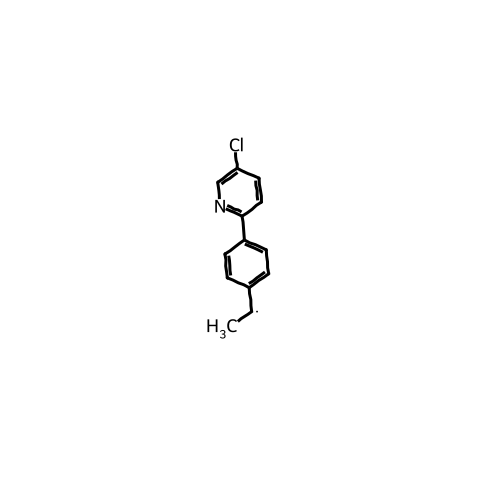 C[CH]c1ccc(-c2ccc(Cl)cn2)cc1